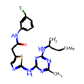 COCC(C)Nc1nc(C)nc(Nc2ncc(CC(=O)Nc3cccc(F)c3)s2)n1